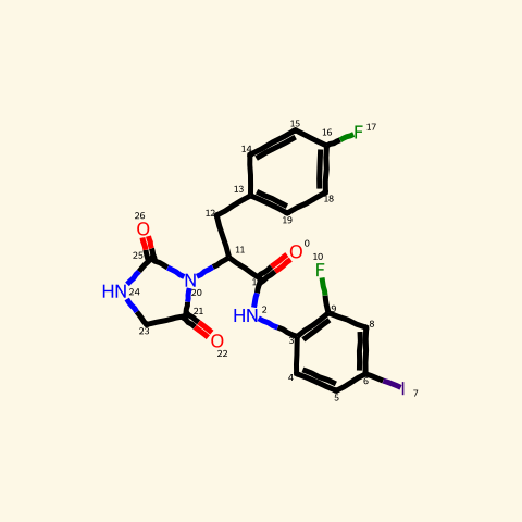 O=C(Nc1ccc(I)cc1F)C(Cc1ccc(F)cc1)N1C(=O)CNC1=O